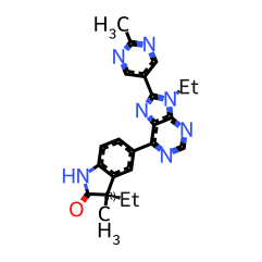 CCn1c(-c2cnc(C)nc2)nc2c(-c3ccc4c(c3)[C@@](C)(CC)C(=O)N4)ncnc21